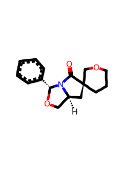 O=C1N2[C@H](CO[C@@H]2c2ccccc2)C[C@@]12CCCOC2